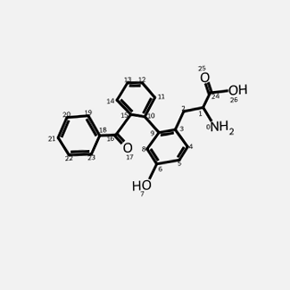 NC(Cc1ccc(O)cc1-c1ccccc1C(=O)c1ccccc1)C(=O)O